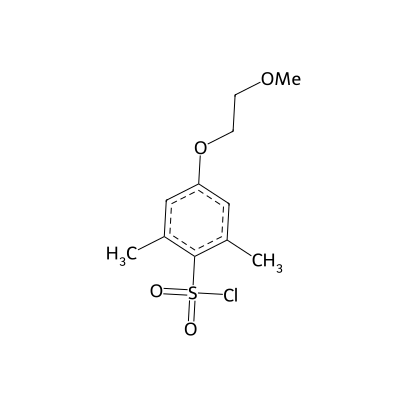 COCCOc1cc(C)c(S(=O)(=O)Cl)c(C)c1